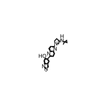 Cn1cc2cc(-c3ccc4nc(N5CC[C@H](NC6(C)CC6)C5)ccc4n3)c(O)cc2n1